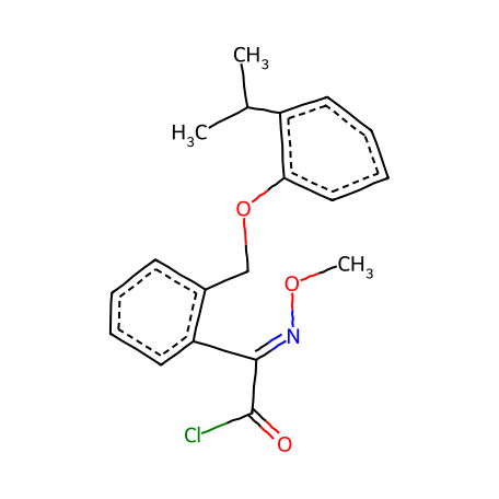 CO/N=C(/C(=O)Cl)c1ccccc1COc1ccccc1C(C)C